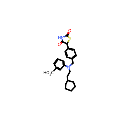 O=C1NC(=O)C(c2ccc(CN(CCC3CCCCC3)c3cccc(C(=O)O)c3)cc2)S1